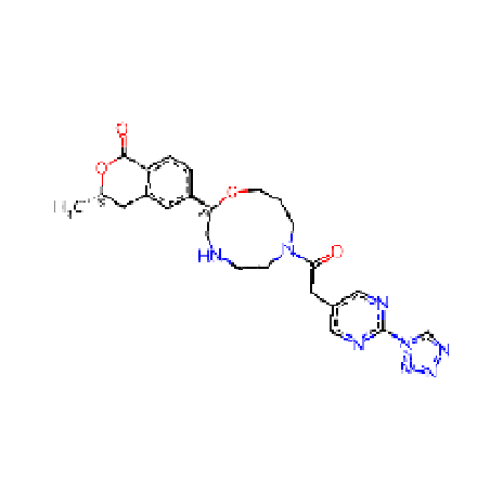 C[C@H]1Cc2cc([C@@H]3CNCCN(C(=O)Cc4cnc(-n5cnnn5)nc4)CCCO3)ccc2C(=O)O1